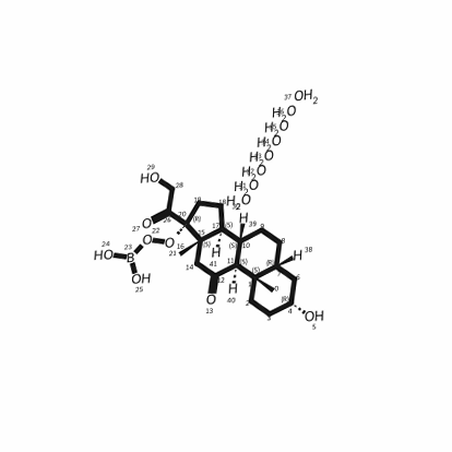 C[C@]12CC[C@@H](O)C[C@H]1CC[C@@H]1[C@@H]2C(=O)C[C@@]2(C)[C@H]1CC[C@]2(OOB(O)O)C(=O)CO.O.O.O.O.O.O.O.O